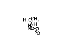 CC(C)CCNc1ncnc2ccc(-c3cccc4c3sc3ccccc34)cc12